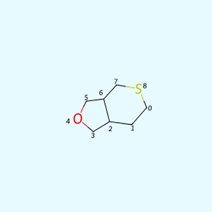 C1CC2COCC2CS1